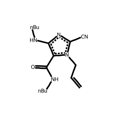 C=CCn1c(C#N)nc(NCCCC)c1C(=O)NCCCC